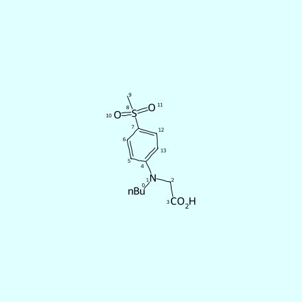 CCCCN(CC(=O)O)c1ccc(S(C)(=O)=O)cc1